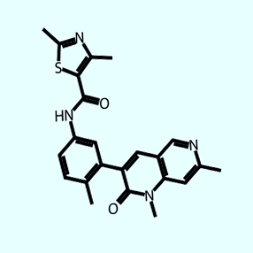 Cc1cc2c(cn1)cc(-c1cc(NC(=O)c3sc(C)nc3C)ccc1C)c(=O)n2C